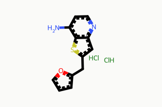 Cl.Cl.Nc1ccnc2cc(Cc3ccco3)sc12